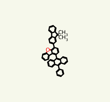 CC1(C)c2ccccc2-c2ccc(-c3ccc(-c4c5ccccc5c(-c5ccccc5)c5ccccc45)c4c3oc3ccccc34)cc21